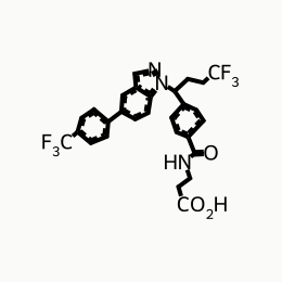 O=C(O)CCNC(=O)c1ccc(C(CCC(F)(F)F)n2ncc3cc(-c4ccc(C(F)(F)F)cc4)ccc32)cc1